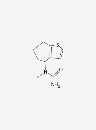 CN(C(N)=O)C1CCCc2sccc21